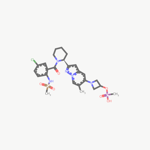 Cc1cn2nc([C@@H]3CCCCN3C(=O)c3cc(Cl)ccc3NS(C)(=O)=O)cc2cc1N1CC(OP(C)(=O)O)C1